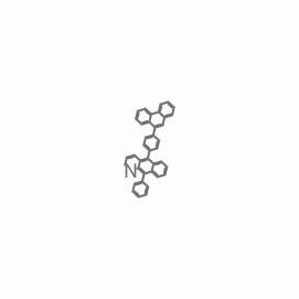 c1ccc(-c2c3ccccc3c(-c3ccc(-c4cc5ccccc5c5ccccc45)cc3)c3cccnc23)cc1